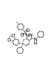 Cc1ccc(S(=O)(=O)n2nc(Nc3ccccc3)c3c2CC(c2ccccc2)(c2ccc4c(c2)OCO4)C=C3)cc1